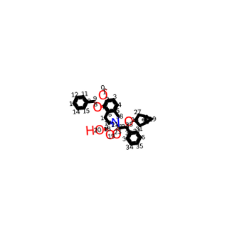 COc1ccc2c(c1OCc1ccccc1)C[C@@H](C(=O)O)N(C(=O)C(OC1CC3CC3C1)c1ccccc1)C2